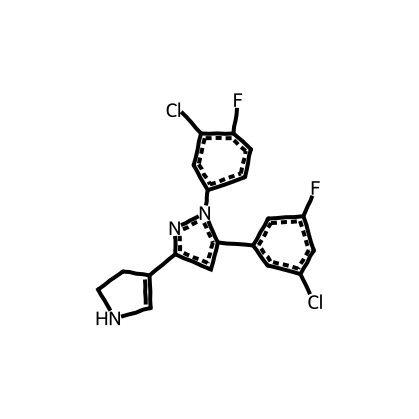 Fc1cc(Cl)cc(-c2cc(C3=CNCC3)nn2-c2ccc(F)c(Cl)c2)c1